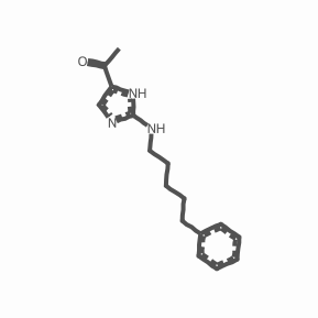 CC(=O)c1cnc(NCCCCCc2ccccc2)[nH]1